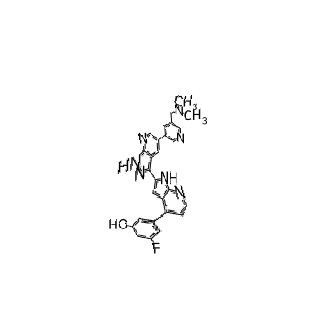 CN(C)Cc1cncc(-c2cnc3[nH]nc(-c4cc5c(-c6cc(O)cc(F)c6)ccnc5[nH]4)c3c2)c1